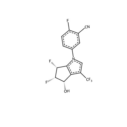 N#Cc1cc(-n2cc(C(F)(F)F)c3c2[C@@H](F)[C@@H](F)[C@H]3O)ccc1F